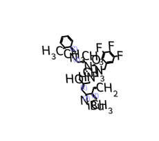 C=CC(=C/C)/C(/C=C(/O)CNCN(Cc1cc(F)c(F)c(F)c1)C(=O)N(C)C(C)/C=N\C=C1\C=CC=CC1(C)C)=N\C(C)CC